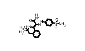 CC1(C)Cc2ccccc2/C(=C(\N=N\c2ccc(S(N)(=O)=O)cc2)C(N)=O)N1